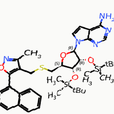 Cc1noc(-c2cccc3ccccc23)c1CSC[C@H]1O[C@@H](n2ccc3c(N)ncnc32)[C@H](O[Si](C)(C)C(C)(C)C)[C@@H]1O[Si](C)(C)C(C)(C)C